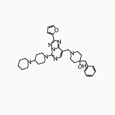 OC1(Cc2ccccc2)CCN(Cc2cnc(N3CCC(N4CCCCC4)CC3)n3nc(-c4ccco4)nc23)CC1